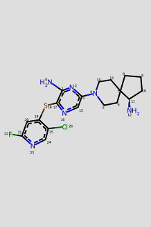 Nc1nc(N2CCC3(CCC[C@H]3N)CC2)cnc1Sc1cc(F)ncc1Cl